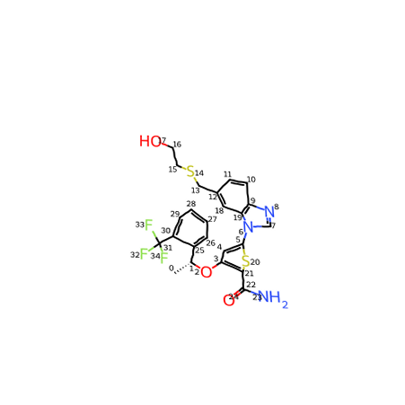 C[C@@H](Oc1cc(-n2cnc3ccc(CSCCO)cc32)sc1C(N)=O)c1ccccc1C(F)(F)F